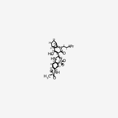 CC(C)CCN1C(=O)C(C2=NS(=O)(=O)c3cc(NS(C)(=O)=O)ccc3N2)=C(O)C2C3CCC(O3)C21